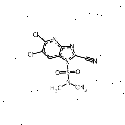 CN(C)S(=O)(=O)n1c(C#N)nc2nc(Cl)c(Cl)cc21